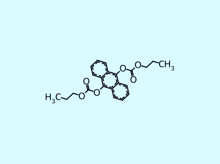 CCCOC(=O)Oc1c2ccccc2c(OC(=O)OCCC)c2ccccc12